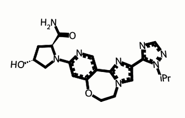 CC(C)n1ncnc1-c1cn2c(n1)-c1cnc(N3C[C@H](O)C[C@H]3C(N)=O)cc1OCC2